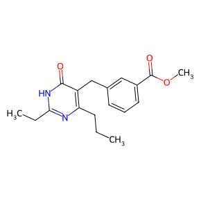 CCCc1nc(CC)[nH]c(=O)c1Cc1cccc(C(=O)OC)c1